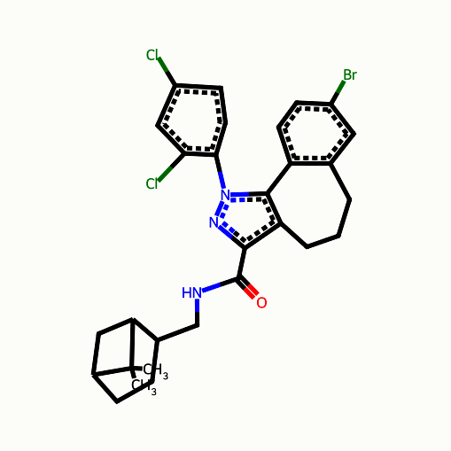 CC1(C)C2CCC(CNC(=O)c3nn(-c4ccc(Cl)cc4Cl)c4c3CCCc3cc(Br)ccc3-4)C1C2